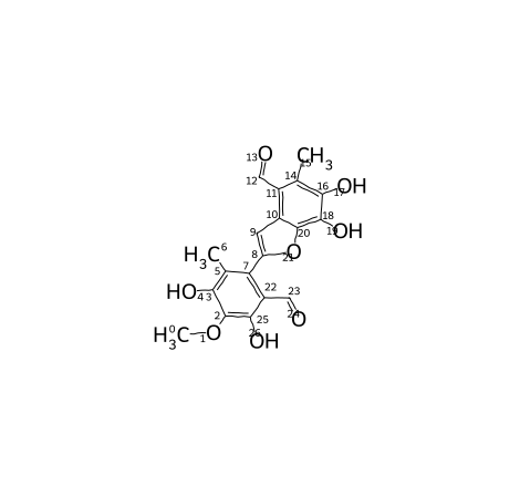 COc1c(O)c(C)c(-c2cc3c(C=O)c(C)c(O)c(O)c3o2)c(C=O)c1O